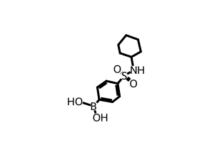 O=S(=O)(NC1CCCCC1)c1ccc(B(O)O)cc1